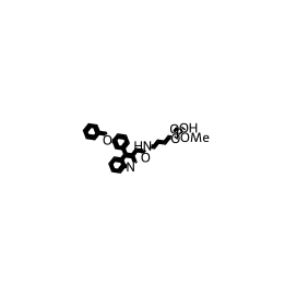 COP(=O)(O)OCCCCNC(=O)Cc1cnc2c(c1-c1cccc(OCc3ccccc3)c1)=CCCC=2